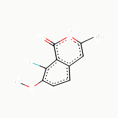 CCCCc1cc2ccc(OCC)c(F)c2c(=O)o1